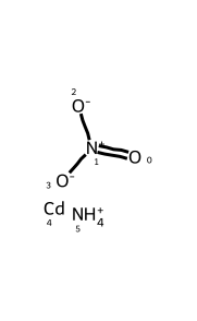 O=[N+]([O-])[O-].[Cd].[NH4+]